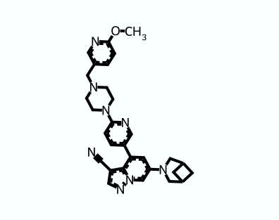 COc1ccc(CN2CCN(c3ccc(-c4cc(N5CC6CC(C6)C5)cn5ncc(C#N)c45)cn3)CC2)cn1